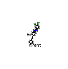 CCCCCc1ccc(C#Cc2ccc(N=Nc3ccc(F)c(F)c3)cc2CC)cc1